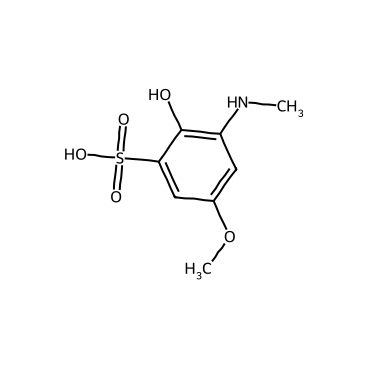 CNc1cc(OC)cc(S(=O)(=O)O)c1O